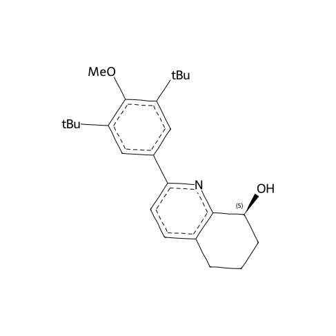 COc1c(C(C)(C)C)cc(-c2ccc3c(n2)[C@@H](O)CCC3)cc1C(C)(C)C